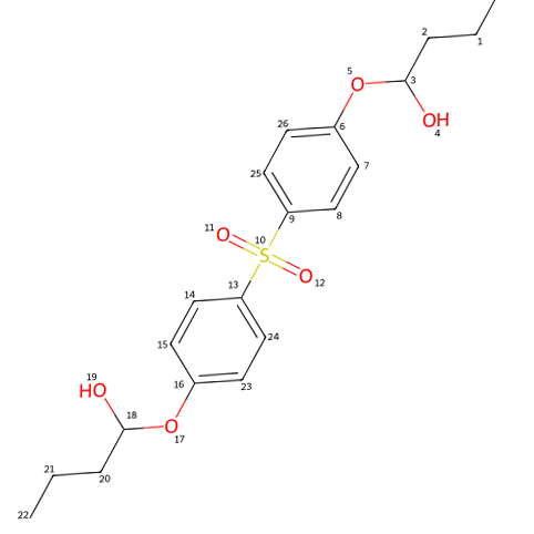 CCCC(O)Oc1ccc(S(=O)(=O)c2ccc(OC(O)CCC)cc2)cc1